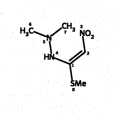 CSC(=C[N+](=O)[O-])NN(C)C